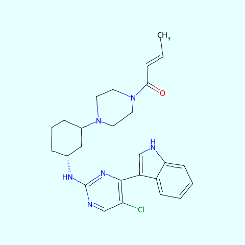 C/C=C/C(=O)N1CCN(C2CCC[C@@H](Nc3ncc(Cl)c(-c4c[nH]c5ccccc45)n3)C2)CC1